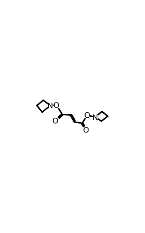 O=C(/C=C/C(=O)ON1CCC1)ON1CCC1